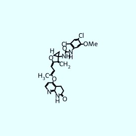 C=C1/C(=C\C=C(/C)Oc2ccnc3c2CCC(=O)N3)O[C@H]2CC12NC(=O)Nc1cc(OC)c(Cl)cc1Cl